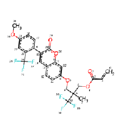 C=CC(=O)OCC(C)(COc1ccc2cc(-c3ccc(OC)cc3C(F)(F)F)c(=O)oc2c1)C(F)(F)F